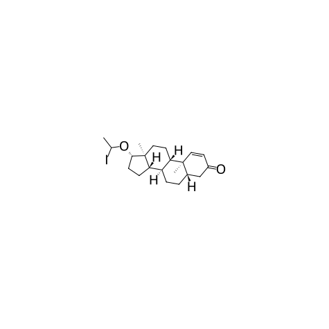 CC(I)O[C@H]1CC[C@H]2[C@@H]3CC[C@H]4CC(=O)C=C[C@]4(C)[C@H]3CC[C@]12C